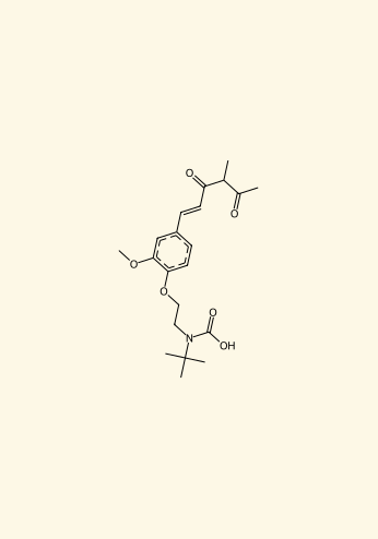 COc1cc(C=CC(=O)C(C)C(C)=O)ccc1OCCN(C(=O)O)C(C)(C)C